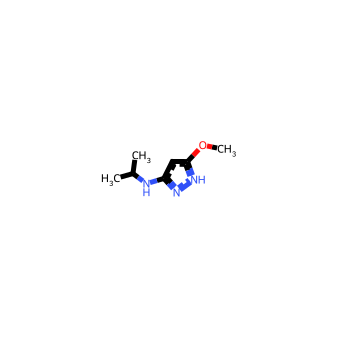 COc1cc(NC(C)C)n[nH]1